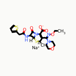 CCON=C(C1=C(C(=O)[O-])N2C(=O)C(NC(=O)Cc3cccs3)[C@@H]2S[C@@H]1C)N1CCOCC1.[Na+]